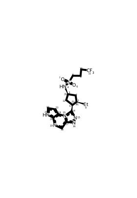 CC[C@@H]1C[C@H](NS(=O)(=O)CCCC(F)(F)F)C[C@@H]1c1nnc2cnc3[nH]ccc3n12